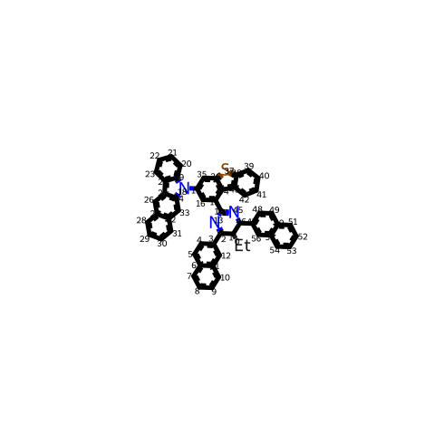 CCC1C(c2ccc3ccccc3c2)=NC(c2cc(-n3c4ccccc4c4cc5ccccc5cc43)cc3sc4ccccc4c23)=NC1c1ccc2ccccc2c1